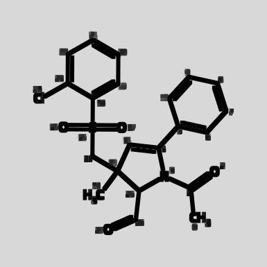 CC(=O)N1C(c2ccccc2)=CC(C)(CS(=O)(=O)c2ccccc2Cl)C1C=O